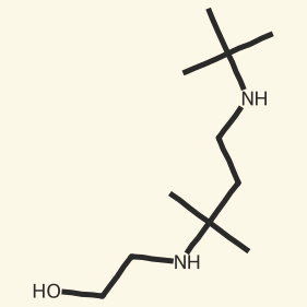 CC(C)(C)NCCC(C)(C)NCCO